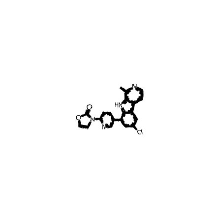 Cc1nccc2c1[nH]c1c(-c3ccc(N4CCOC4=O)nc3)cc(Cl)cc12